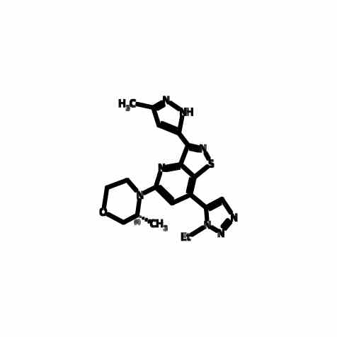 CCn1nncc1-c1cc(N2CCOC[C@H]2C)nc2c(-c3cc(C)n[nH]3)nsc12